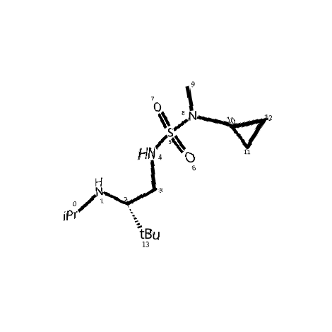 CC(C)N[C@H](CNS(=O)(=O)N(C)C1CC1)C(C)(C)C